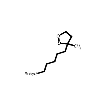 CCCCCCCCCCCCC1(C)CCOO1